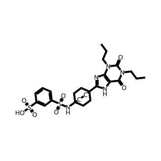 CCCn1c(=O)c2[nH]c(C34CCC(NS(=O)(=O)c5cccc(S(=O)(=O)O)c5)(CC3)CC4)nc2n(CCC)c1=O